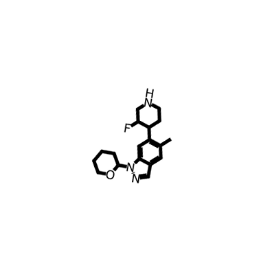 Cc1cc2cnn(C3CCCCO3)c2cc1C1CCNCC1F